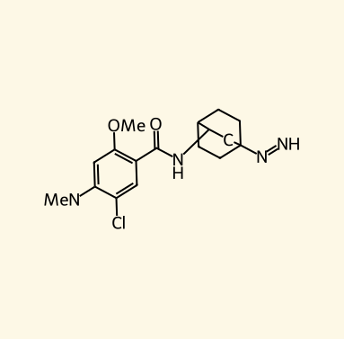 CNc1cc(OC)c(C(=O)NC2CC3(N=N)CCC2CC3)cc1Cl